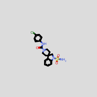 NS(=O)(=O)N1CC2(CCN(C(=O)Nc3ccc(Cl)cc3)CC2)c2ccccc21